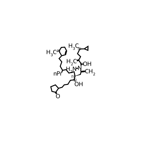 C=C(CC[C@H](C)C1CC1)[C@@H](O)N(N)C(=C)C[C@H](CCCC(CCC)CCCC1C=CCC[C@H]1C)[C@@H](O)CCCCC1CCCC1=O